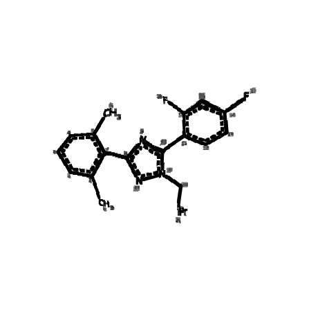 Cc1cccc(C)c1-c1nc(-c2ccc(F)cc2F)n(CC(C)C)n1